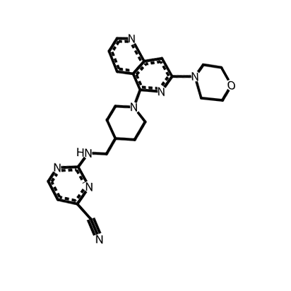 N#Cc1ccnc(NCC2CCN(c3nc(N4CCOCC4)cc4ncccc34)CC2)n1